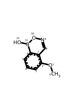 COc1cccc2c1C=NOB2O